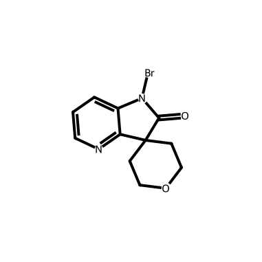 O=C1N(Br)c2cccnc2C12CCOCC2